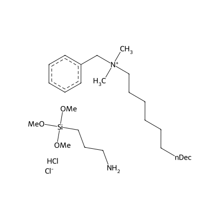 CCCCCCCCCCCCCCCC[N+](C)(C)Cc1ccccc1.CO[Si](CCCN)(OC)OC.Cl.[Cl-]